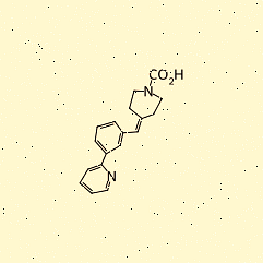 O=C(O)N1CCC(=Cc2cccc(-c3ccccn3)c2)CC1